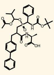 CC(=O)OC(OP(=O)(CC(Cc1ccc(-c2ccccc2)cc1)C(=O)N[C@@H](C)C(=O)O)C(NC(=O)OC(C)(C)C)c1ccccc1)C(C)C